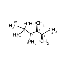 C=C(C)C(=C)C(P)C(C)(C)C